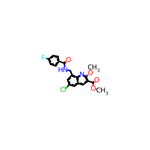 COC(=O)c1cc2cc(Cl)cc(CNC(=O)c3ccc(F)cc3)c2nc1OC